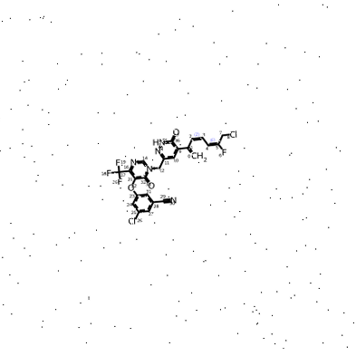 C=C(/C=C\C=C(\F)CCl)c1cc(Cn2cnc(C(F)(F)F)c(Oc3cc(Cl)cc(C#N)c3)c2=O)n[nH]c1=O